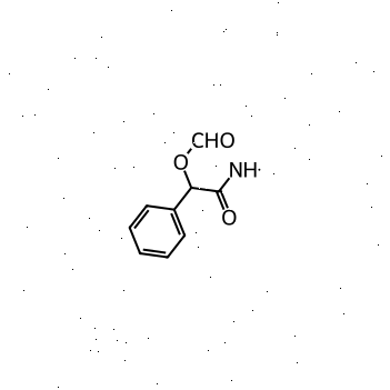 [NH]C(=O)C(OC=O)c1ccccc1